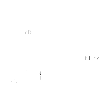 CCCCc1cc(=O)[nH]c2cc(NC(C)=O)ccc12